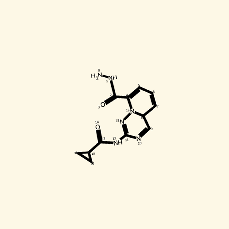 NNC(=O)C1=CC=CC2C=NC(NC(=O)C3CC3)=NN12